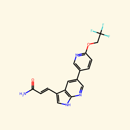 NC(=O)/C=C/c1c[nH]c2ncc(-c3ccc(OCC(F)(F)F)nc3)cc12